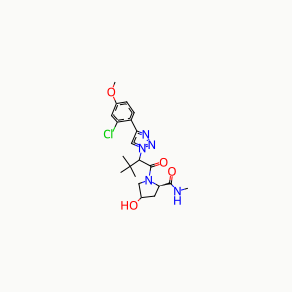 CNC(=O)[C@H]1CC(O)CN1C(=O)C(n1cc(-c2ccc(OC)cc2Cl)nn1)C(C)(C)C